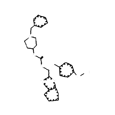 COc1ccc(C[C@@H](NC(=O)NC2CCN(Cc3ccccc3)CC2)c2nc3ccccc3[nH]2)cc1